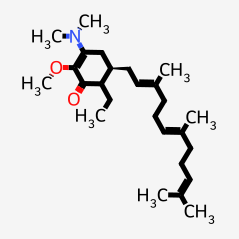 CCC1C(=O)C(OC)=C(N(C)C)C[C@H]1C/C=C(\C)CC/C=C(\C)CCC=C(C)C